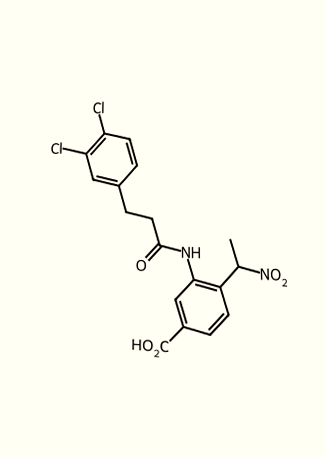 CC(c1ccc(C(=O)O)cc1NC(=O)CCc1ccc(Cl)c(Cl)c1)[N+](=O)[O-]